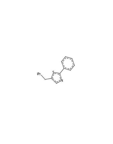 CC(C)Cc1cnc(-c2ccccc2)s1